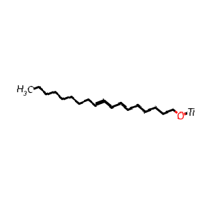 CCCCCCCCC=CCCCCCCCC[O][Ti]